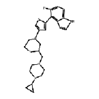 Fc1ccc2[nH]ccc2c1-c1cc(N2CCOC(CN3CCN(C4CC4)CC3)C2)cs1